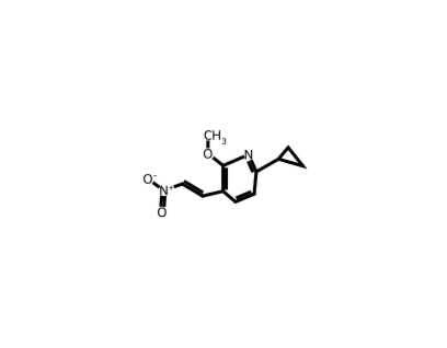 COc1nc(C2CC2)ccc1C=C[N+](=O)[O-]